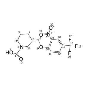 O=C(O)N1CCC[C@H](COc2ccc(C(F)(F)F)cc2[N+](=O)[O-])C1